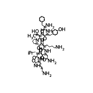 CC(C)C[C@H](NC(=O)[C@H](CC(N)=O)NC(=O)[C@H](CCCCN)NC(=O)[C@@H]1CCCN1C(=O)[C@@H](NC(=O)[C@H](Cc1ccc(O)cc1)NC(=O)[C@@H](N)Cc1ccccc1)[C@@H](C)O)C(=O)N[C@@H](CCCCN)C(N)=O